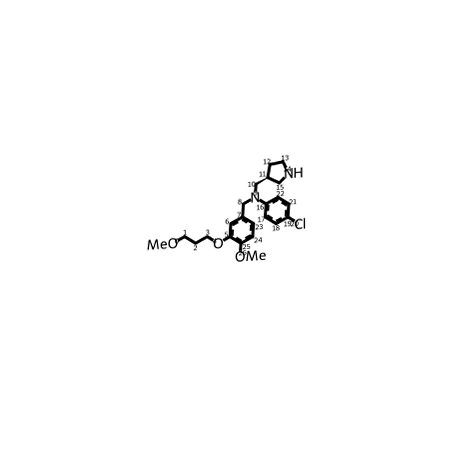 COCCCOc1cc(CN(C[C@H]2CCNC2)c2ccc(Cl)cc2)ccc1OC